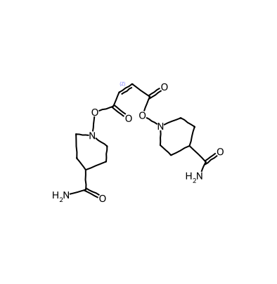 NC(=O)C1CCN(OC(=O)/C=C\C(=O)ON2CCC(C(N)=O)CC2)CC1